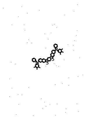 Cc1cc(N(c2ccccc2)c2ccc3cc4c(cc3c2)sc2cc3sc5cc6cc(N(c7ccccc7)c7cc(C)c(C)c(C)c7)ccc6cc5c3cc24)cc(C)c1C